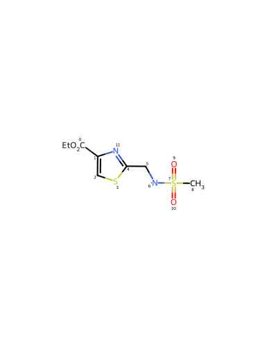 CCOC(=O)c1csc(C[N]S(C)(=O)=O)n1